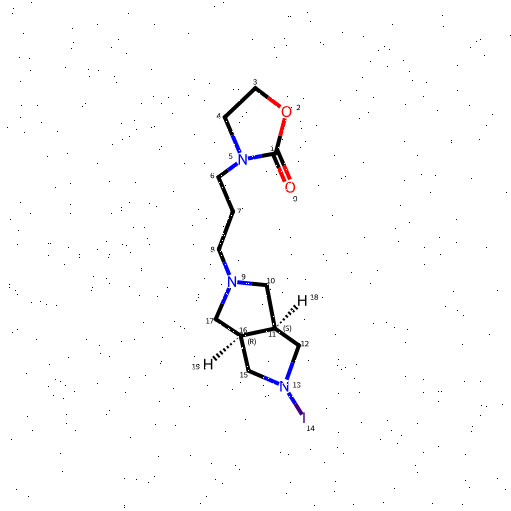 O=C1OCCN1CCCN1C[C@H]2CN(I)C[C@H]2C1